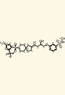 CNS(=O)(=O)c1cccc(OCC(O)CNC2COC3(CCN(S(=O)(=O)c4cc(C)oc4C(F)(F)F)CC3)C2)c1